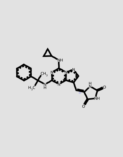 CC(C)(Nc1nc(NC2CC2)n2ncc(/C=C3\NC(=O)NC3=O)c2n1)c1ccccc1